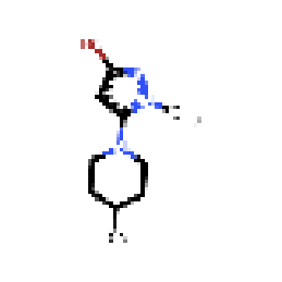 Cn1nc(Br)cc1N1CCC(C#N)CC1